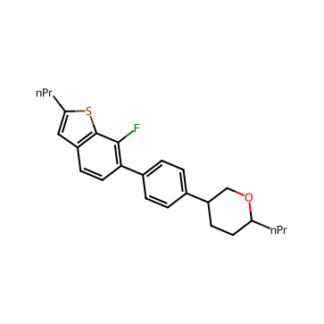 CCCc1cc2ccc(-c3ccc(C4CCC(CCC)OC4)cc3)c(F)c2s1